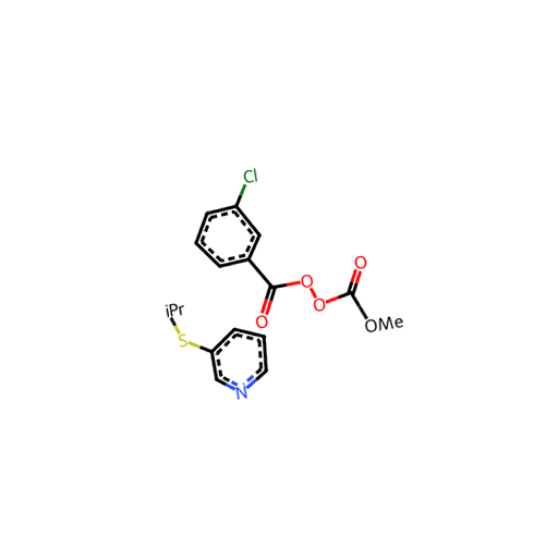 CC(C)Sc1cccnc1.COC(=O)OOC(=O)c1cccc(Cl)c1